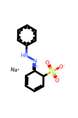 O=S(=O)([O-])C1C=CC=C/C1=N\Nc1ccccc1.[Na+]